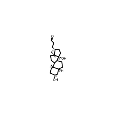 C[C@]12CC[C@H](O)C[C@H]1CCC1C2CC[C@]2(C)[C@@H](CCC=O)CC[C@]12O